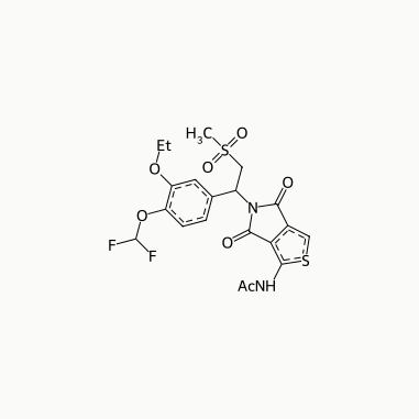 CCOc1cc(C(CS(C)(=O)=O)N2C(=O)c3csc(NC(C)=O)c3C2=O)ccc1OC(F)F